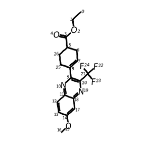 CCOC(=O)C1CC=C(c2nc3ccc(OC)cc3nc2C(F)(F)F)CC1